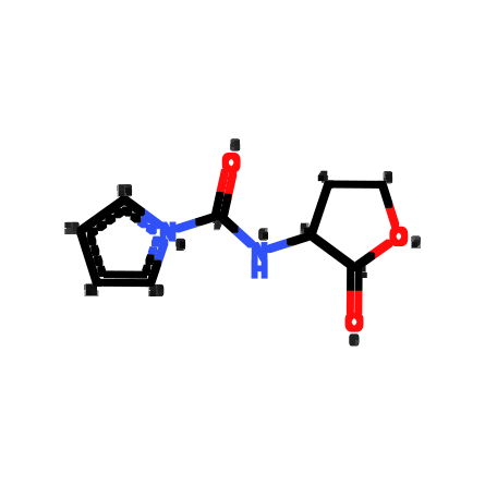 O=C1OCCC1NC(=O)n1cccc1